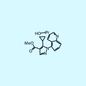 CC(C)O.COC(=O)c1cnn(-c2cccc3ncccc23)c1C1CC1